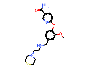 COc1cc(CNCCN2CCSCC2)ccc1Oc1ccc(C(N)=O)cn1